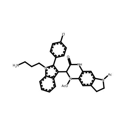 CC(=O)ON1c2cc3c(cc2NC(=O)C1c1c(-c2ccc(Cl)cc2)n(CCCN)c2ccccc12)N(C(C)=O)CC3